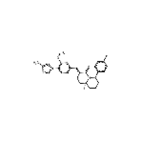 COc1cc(/C=C2\OC[C@@H]3CCC[C@H](c4ccc(F)cc4)N3C2=O)ccc1-n1cnc(C)c1